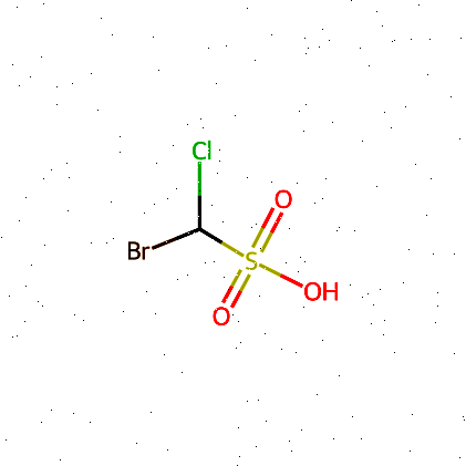 O=S(=O)(O)C(Cl)Br